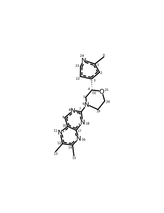 Cc1cc([C@H]2CN(c3ncc4nc(C)c(C)nc4n3)CCO2)ccn1